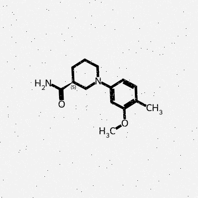 COc1cc(N2CCC[C@H](C(N)=O)C2)ccc1C